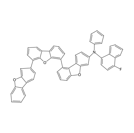 Fc1ccc(N(c2ccccc2)c2ccc3c(c2)oc2cccc(-c4cccc5c4oc4c(-c6ccc7c(c6)oc6ccccc67)cccc45)c23)c2ccccc12